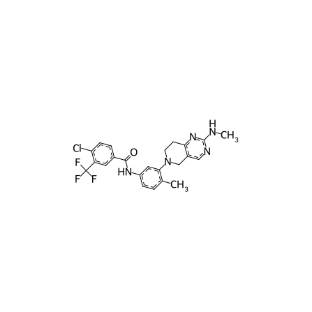 CNc1ncc2c(n1)CCN(c1cc(NC(=O)c3ccc(Cl)c(C(F)(F)F)c3)ccc1C)C2